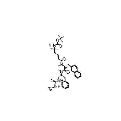 CN(C(=O)[C@@H](Cc1ccc2ccccc2c1)N(C)C(=O)C=CCC(C)(C)NC(=O)OC(C)(C)C)[C@@H](CNC(=S)NC1CC1)Cc1ccccc1